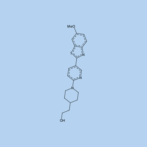 COc1ccc2nc(-c3ccc(N4CCC(CCO)CC4)nc3)sc2c1